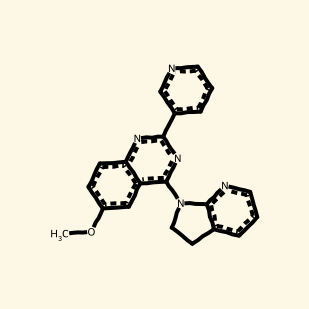 COc1ccc2nc(-c3cccnc3)nc(N3CCc4cccnc43)c2c1